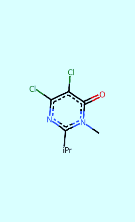 CC(C)c1nc(Cl)c(Cl)c(=O)n1C